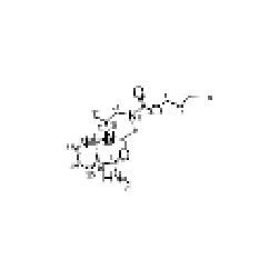 CCCCOC(=O)N1CCN(c2ncccc2C(=O)NC)[C@@H](C)C1